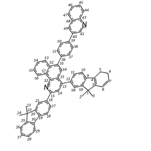 CC1(C)C2=C(CCC=C2)c2ccc(-c3cc(-c4ccc5c(c4)C(C)(C)c4ccccc4-5)nc4c3cc(-c3ccc(-c5cnc6ccccc6c5)cc3)c3ccccc34)cc21